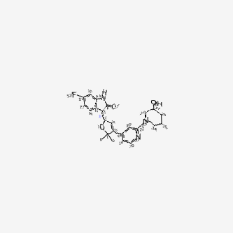 CC1(C)O/C(=C2/C(=O)Nc3cc(F)ccc32)C=C1c1ccnc(N2CCCC(O)C2)c1